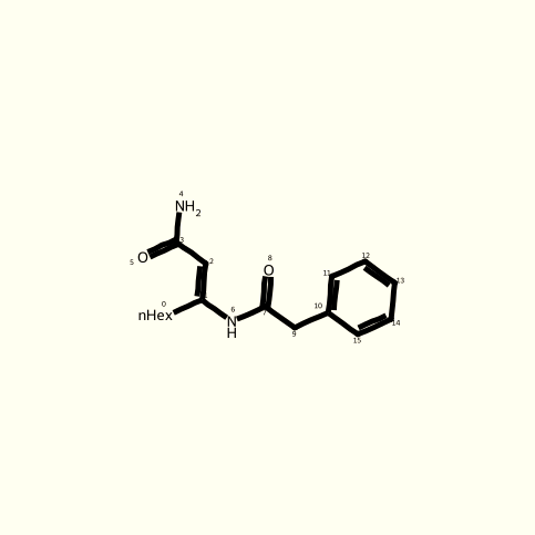 CCCCCCC(=CC(N)=O)NC(=O)Cc1ccccc1